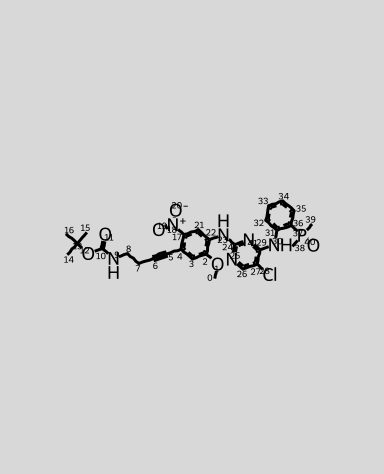 COc1cc(C#CCCNC(=O)OC(C)(C)C)c([N+](=O)[O-])cc1Nc1ncc(Cl)c(Nc2ccccc2P(C)(C)=O)n1